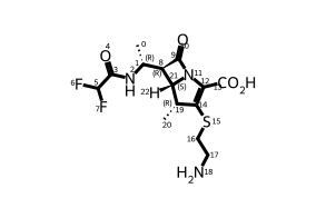 C[C@@H](NC(=O)C(F)F)[C@H]1C(=O)N2C(C(=O)O)=C(SCCN)[C@H](C)[C@H]12